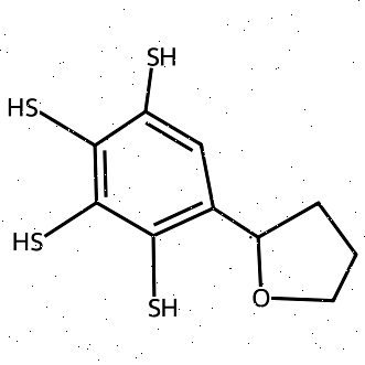 Sc1cc([C]2CCCO2)c(S)c(S)c1S